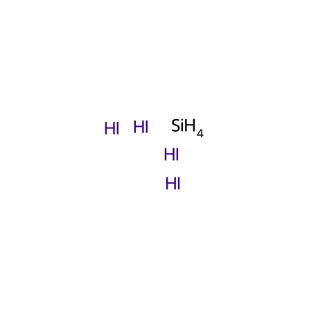 I.I.I.I.[SiH4]